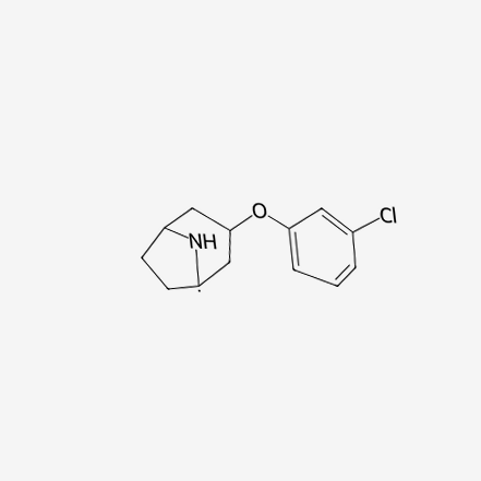 Clc1cccc(OC2C[C]3CCC(C2)N3)c1